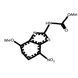 COC(=O)Nc1nc2c(OC)ccc([N+](=O)[O-])c2s1